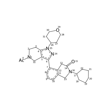 CC(=O)N1CCc2c(c(-c3cccc4c3CC(=O)N(C3CCCCC3)C4)nn2C2CCOCC2)C1